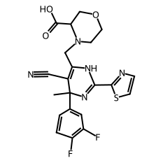 CC1(c2ccc(F)c(F)c2)N=C(c2nccs2)NC(CN2CCOCC2C(=O)O)=C1C#N